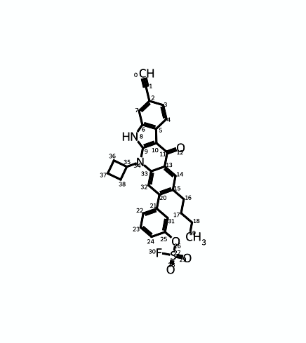 C#Cc1ccc2c(c1)[nH]c1c2c(=O)c2cc(CCCC)c(-c3cccc(OS(=O)(=O)F)c3)cc2n1C1CCC1